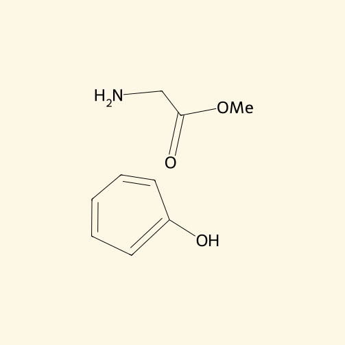 COC(=O)CN.Oc1ccccc1